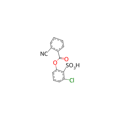 N#Cc1ccccc1C(=O)Oc1cccc(Cl)c1S(=O)(=O)O